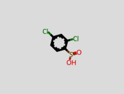 O=S(O)c1ccc(Cl)cc1Cl